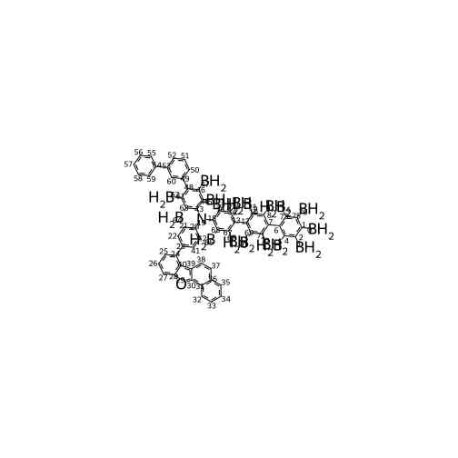 Bc1c(B)c(B)c(-c2c(B)c(B)c(-c3c(B)c(B)c(N(c4ccc(-c5cccc6oc7c8ccccc8ccc7c56)cc4)c4c(B)c(B)c(-c5cccc(-c6ccccc6)c5)c(B)c4B)c(B)c3B)c(B)c2B)c(B)c1B